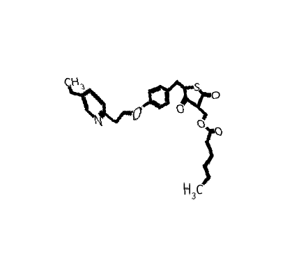 CCCCCC(=O)OCC1C(=O)SC(Cc2ccc(OCCc3ccc(CC)cn3)cc2)C1=O